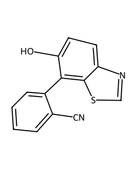 N#Cc1ccccc1-c1c(O)ccc2ncsc12